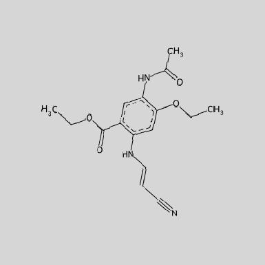 CCOC(=O)c1cc(NC(C)=O)c(OCC)cc1NC=CC#N